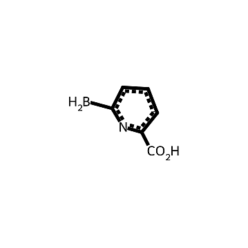 Bc1cccc(C(=O)O)n1